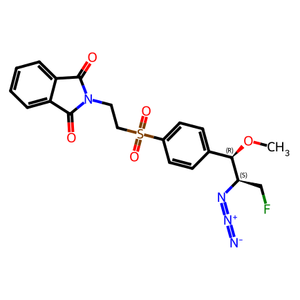 CO[C@H](c1ccc(S(=O)(=O)CCN2C(=O)c3ccccc3C2=O)cc1)[C@@H](CF)N=[N+]=[N-]